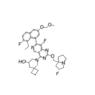 CCc1c(F)ccc2cc(OCOC)cc(-c3ncc4c(N5CC(O)CC6(CCC6)C5)nc(OCC56CCCN5C[C@H](F)C6)nc4c3F)c12